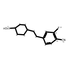 CCCCCCCCC1CCC(CCc2ccc(C#N)c(F)c2)CC1